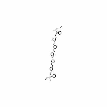 CCCC(C)C(=O)CCOCCOCCOCCOCCOCCC(=O)C(C)CC